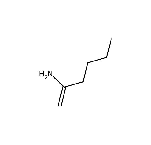 [CH]=C(N)CCCC